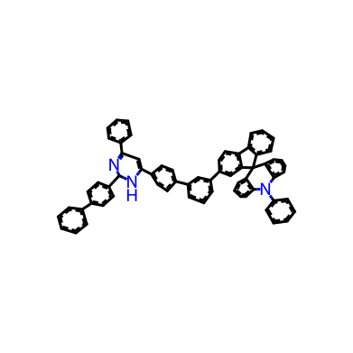 C1=C(c2ccc(-c3cccc(-c4ccc5c(c4)C4(c6ccccc6-5)c5ccccc5N(c5ccccc5)c5ccccc54)c3)cc2)NC(c2ccc(-c3ccccc3)cc2)N=C1c1ccccc1